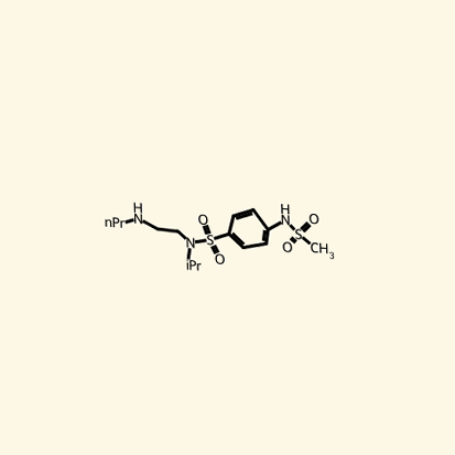 CCCNCCN(C(C)C)S(=O)(=O)c1ccc(NS(C)(=O)=O)cc1